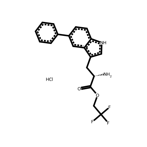 Cl.N[C@@H](Cc1c[nH]c2ccc(-c3ccccc3)cc12)C(=O)OCC(F)(F)F